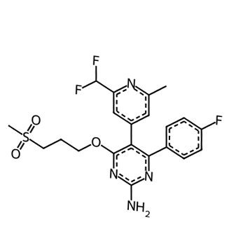 Cc1cc(-c2c(OCCCS(C)(=O)=O)nc(N)nc2-c2ccc(F)cc2)cc(C(F)F)n1